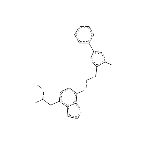 CCOC(Cc1ccc(OCCc2nc(-c3ccccc3)sc2C)c2sccc12)C(=O)O